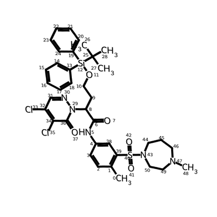 Cc1ccc(NC(=O)C(CCO[Si](c2ccccc2)(c2ccccc2)C(C)(C)C)n2ncc(Cl)c(Cl)c2=O)cc1S(=O)(=O)N1CCCN(C)CC1